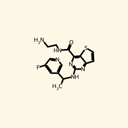 CC(Nc1nc(C(=O)NCCN)c2sccc2n1)c1cncc(F)c1